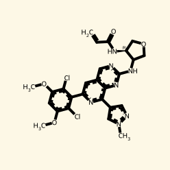 C=CC(=O)N[C@H]1COCC1Nc1ncc2cc(-c3c(Cl)c(OC)cc(OC)c3Cl)nc(-c3cnn(C)c3)c2n1